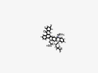 CCCCC(CC)Cn1c2ccc(/C(=N/OC(C)=O)c3ccccc3OCCCC(F)(F)C(F)F)cc2c2cc(C(=O)c3c(C)cc(C)cc3C)c3ccccc3c21